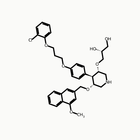 COc1cc(CO[C@H]2CNC[C@@H](OC[C@H](O)CO)[C@@H]2c2ccc(OCCCOc3ccccc3Cl)cc2)cc2ccccc12